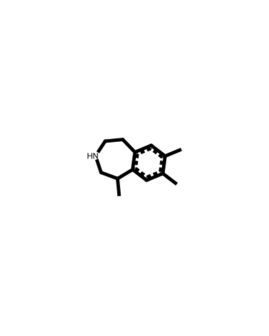 Cc1cc2c(cc1C)C(C)CNCC2